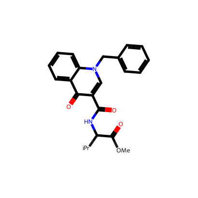 COC(=O)C(NC(=O)c1cn(Cc2ccccc2)c2ccccc2c1=O)C(C)C